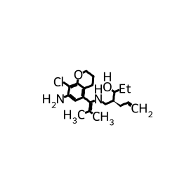 C=CC[C@@H](CNC(=C(C)C)c1cc(N)c(Cl)c2c1CCCO2)C(O)CC